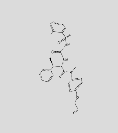 C=CCOc1ccc(N(C)C(=O)[C@@H](NC(=O)NS(=O)(=O)c2ccccc2C)[C@H](C)c2ccccc2)cc1